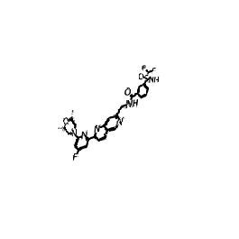 C[C@@H]1CN(c2cc(F)cc(-c3ccc4cnc(CNC(=O)c5cccc([S@@](=N)(=O)C(F)F)c5)cc4n3)n2)C[C@H](C)O1